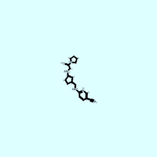 N#Cc1ccc(NCC2CCC(NCC(=O)N3CCCC3)C2)nc1